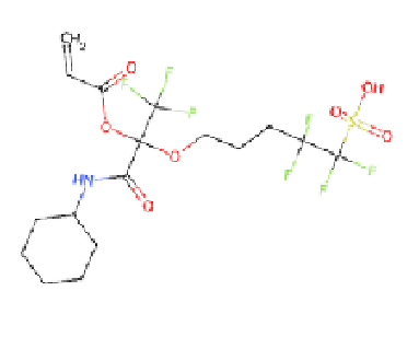 C=CC(=O)OC(OCCCC(F)(F)C(F)(F)S(=O)(=O)O)(C(=O)NC1CCCCC1)C(F)(F)F